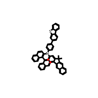 CC1(C)c2cc(N(c3ccc(-c4ccc5c(c4)sc4ccccc45)cc3)c3ccc4ccccc4c3-c3cccc4ccccc34)ccc2-c2cc3ccccc3cc21